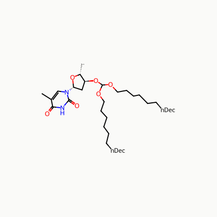 [CH2][C@H]1O[C@@H](n2cc(C)c(=O)[nH]c2=O)C[C@@H]1OC(OCCCCCCCCCCCCCCCC)OCCCCCCCCCCCCCCCC